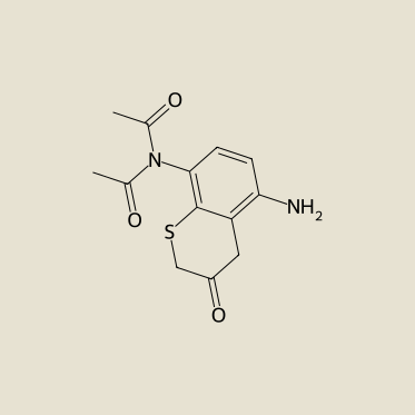 CC(=O)N(C(C)=O)c1ccc(N)c2c1SCC(=O)C2